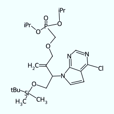 C=C(COCP(=O)(OC(C)C)OC(C)C)C(CO[Si](C)(C)C(C)(C)C)n1ccc2c(Cl)ncnc21